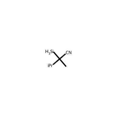 CC(C)C(C)([SiH3])C#N